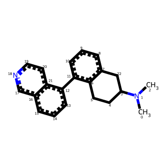 CN(C)C1CCc2c(cccc2-c2cccc3cnccc23)C1